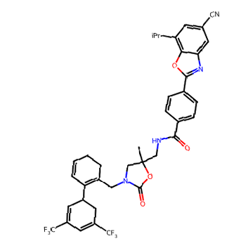 CC(C)c1cc(C#N)cc2nc(-c3ccc(C(=O)NCC4(C)CN(CC5=C(C6C=C(C(F)(F)F)C=C(C(F)(F)F)C6)C=CCC5)C(=O)O4)cc3)oc12